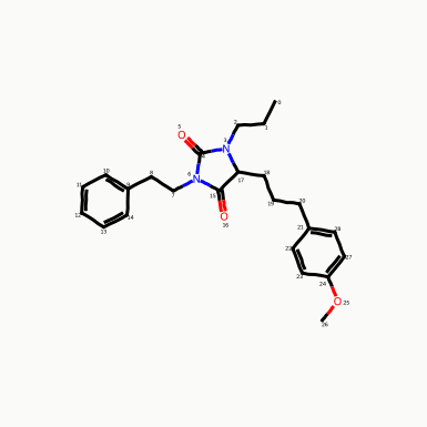 CCCN1C(=O)N(CCc2ccccc2)C(=O)C1CCCc1ccc(OC)cc1